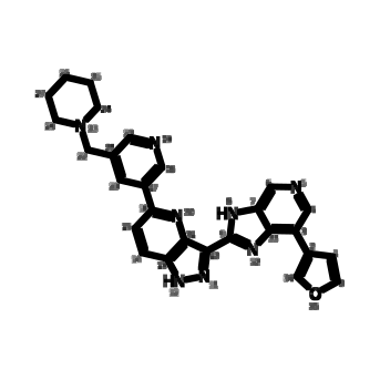 c1cc(-c2cncc3[nH]c(-c4n[nH]c5ccc(-c6cncc(CN7CCCCC7)c6)nc45)nc23)co1